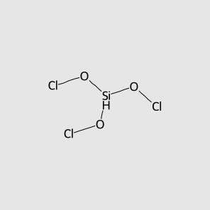 ClO[SiH](OCl)OCl